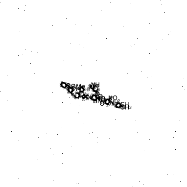 COc1cc(CN2CCN(C3CC4(C3)CN(c3ccc(C(=O)NS(=O)(=O)c5ccc(NC[C@H]6CC[C@](C)(O)CC6)c([N+](=O)[O-])c5)c(Oc5cnc6[nH]cc(F)c6c5)c3)C4)[C@H](c3ccccc3C(C)C)C2)ccc1OC1CCCCC1